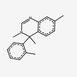 Cc1ccc2c(c1)N=CN(C)C2(C)c1ccccc1C